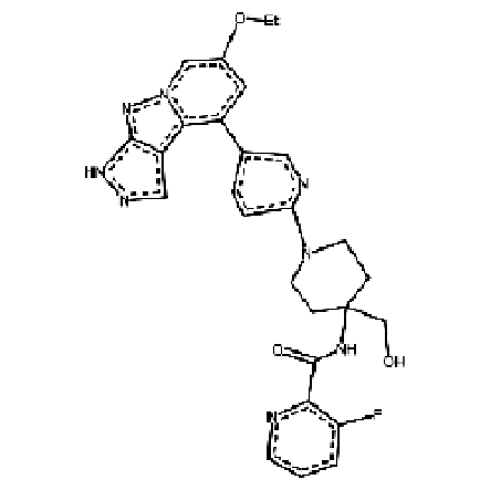 CCOc1cc(-c2ccc(N3CCC(CO)(NC(=O)c4ncccc4F)CC3)nc2)c2c3cn[nH]c3nn2c1